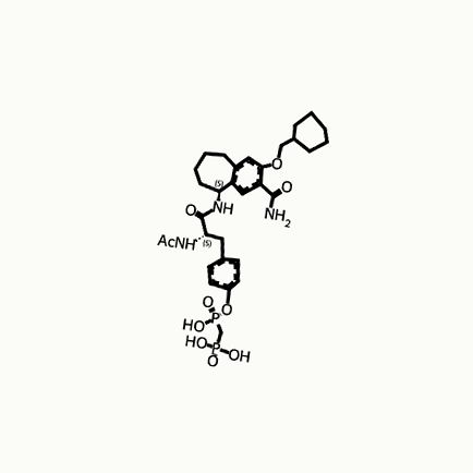 CC(=O)N[C@@H](Cc1ccc(OP(=O)(O)CP(=O)(O)O)cc1)C(=O)N[C@H]1CCCCc2cc(OCC3CCCCC3)c(C(N)=O)cc21